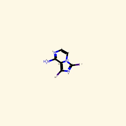 Nc1nccn2c(I)nc(I)c12